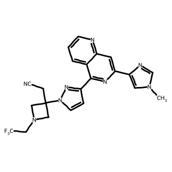 Cn1cnc(-c2cc3ncccc3c(-c3ccn(C4(CC#N)CN(CC(F)(F)F)C4)n3)n2)c1